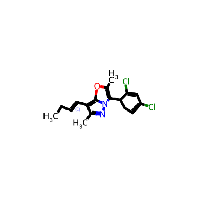 CC/C=C/c1c(C)nn2c(C3CC=C(Cl)C=C3Cl)c(C)oc12